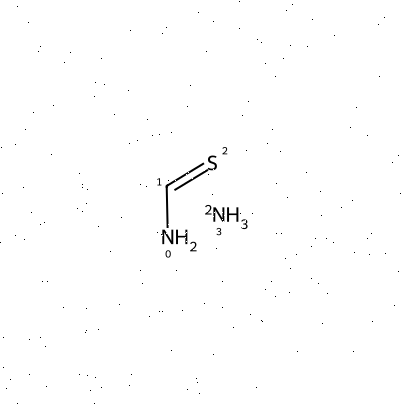 NC=S.[2NH3]